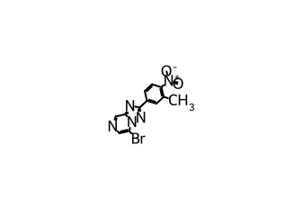 Cc1cc(-c2nc3cncc(Br)n3n2)ccc1[N+](=O)[O-]